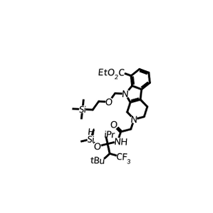 CCOC(=O)c1cccc2c3c(n(COCC[Si](C)(C)C)c12)CN(CC(=O)NC(O[SiH](C)C)(C(C)C)C(C(C)(C)C)C(F)(F)F)CC3